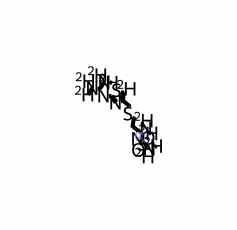 [2H]c1sc(N=C(N([2H])[2H])N([2H])[2H])nc1CSCC/C(=N/S(=O)(=O)N([2H])[2H])N([2H])[2H]